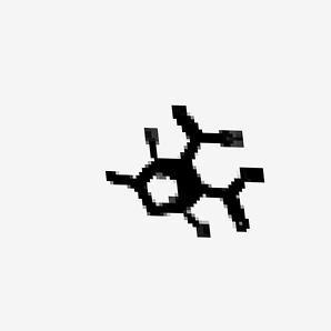 CC1C[C@H]2C[C@@H]1C(C(=O)O)=C2C(=O)O